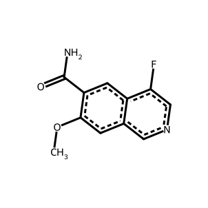 COc1cc2cncc(F)c2cc1C(N)=O